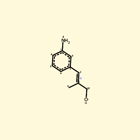 C/C(=C\c1cccc(N)c1)C[O]